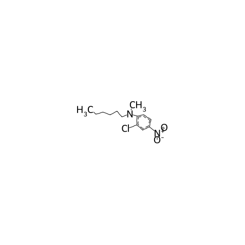 CCCCCCN(C)c1ccc([N+](=O)[O-])cc1Cl